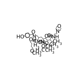 COCCCCOc1cc(O)ccc1C(=O)NCC(CC(NC(=O)OC(C)(C)C)C(O)CC(C(=O)NCCN1CCOCC1)C(C)C)C(C)C